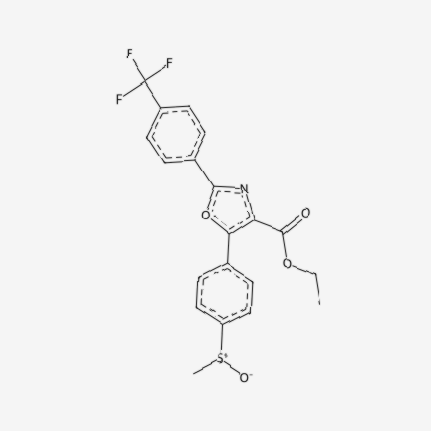 CCOC(=O)c1nc(-c2ccc(C(F)(F)F)cc2)oc1-c1ccc([S+](C)[O-])cc1